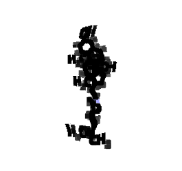 CN(C)CCO/N=C/CC1CC[C@@]2(O)[C@@H]3CCC4CC(O)CC[C@]4(C)[C@@H]3CC[C@]12C